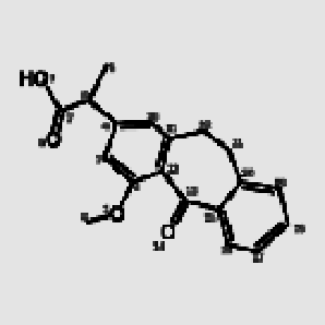 COc1cc(C(C)C(=O)O)cc2c1C(=O)c1ccccc1CC2